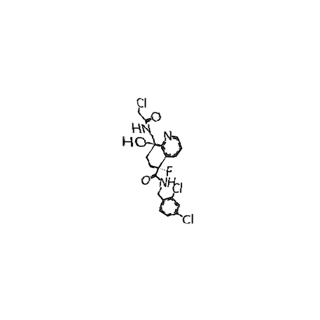 O=C(CCl)NC[C@@]1(O)CC[C@](F)(C(=O)NCc2ccc(Cl)cc2Cl)c2cccnc21